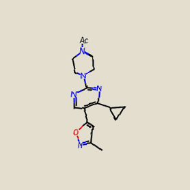 CC(=O)N1CCN(c2ncc(-c3cc(C)no3)c(C3CC3)n2)CC1